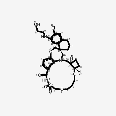 O=C1NS(=O)(=O)CCCCCC[C@@H]2CC[C@H]2CN2C[C@@]3(CCCc4cc(Cl)c(NCCO)cc43)COc3ccc1cc32